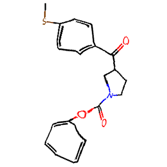 CSc1ccc(C(=O)C2CCN(C(=O)Oc3ccccc3)C2)cc1